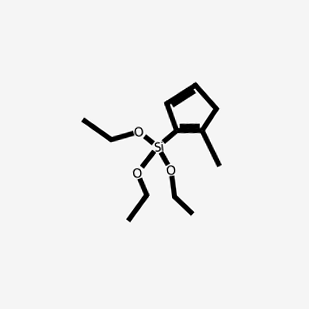 CCO[Si](OCC)(OCC)C1=C(C)CC=C1